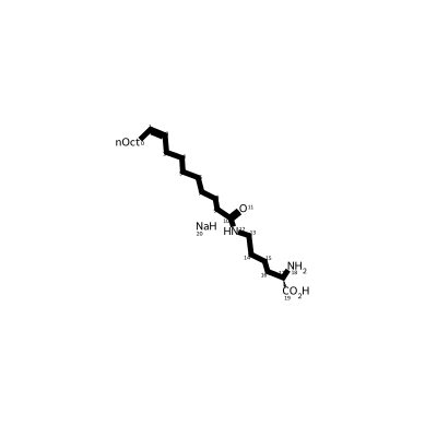 CCCCCCCC/C=C\CCCCCCCC(=O)NCCCC[C@H](N)C(=O)O.[NaH]